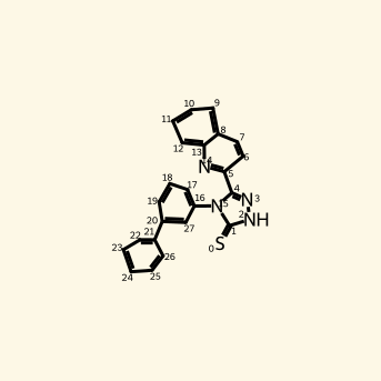 S=c1[nH]nc(-c2ccc3ccccc3n2)n1-c1cccc(-c2ccccc2)c1